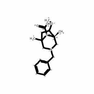 COC1CC2(C)CN(Cc3ccccc3)C[C@]1(C)N2C(=O)O